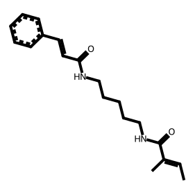 C/C=C(\C)C(=O)NCCCCCNC(=O)C=Cc1ccccc1